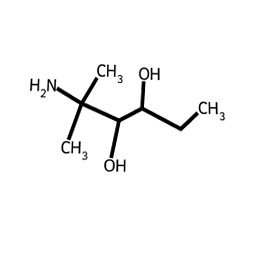 CCC(O)C(O)C(C)(C)N